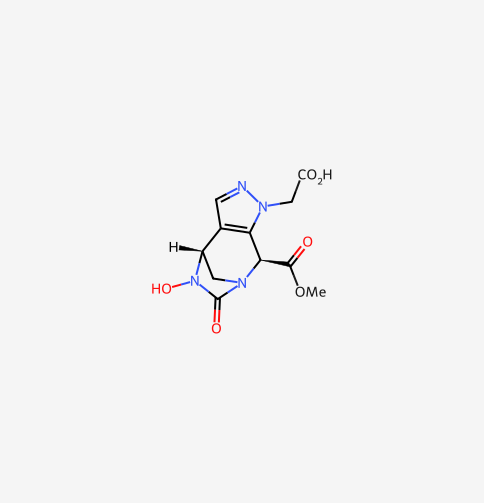 COC(=O)[C@@H]1c2c(cnn2CC(=O)O)[C@@H]2CN1C(=O)N2O